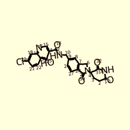 O=C1CCC(N2Cc3cc(CNC(=O)c4cnc5cc(Cl)ccc5c4O)ccc3C2=O)C(=O)N1